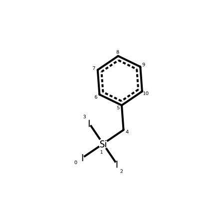 I[Si](I)(I)Cc1ccccc1